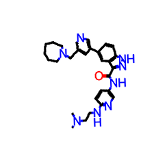 CN(C)CCNc1ccc(NC(=O)c2n[nH]c3ccc(-c4cncc(CN5CCCCCC5)c4)cc23)cn1